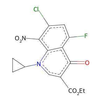 CCOC(=O)c1cn(C2CC2)c2c([N+](=O)[O-])c(Cl)cc(F)c2c1=O